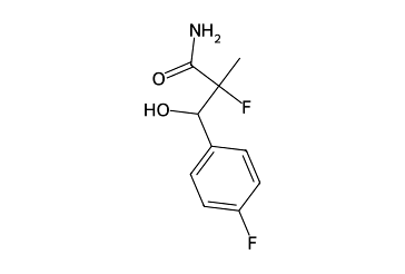 CC(F)(C(N)=O)C(O)c1ccc(F)cc1